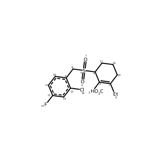 CCC1=C(C(=O)O)C(S(=O)(=O)Cc2ccc(F)cc2Cl)CCC1